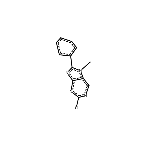 Cn1c(-c2ccccc2)nc2nc(Cl)ncc21